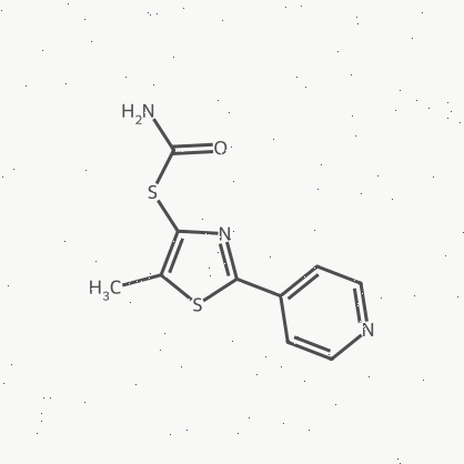 Cc1sc(-c2ccncc2)nc1SC(N)=O